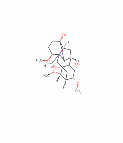 CCN1C[C@]2(O)CC[C@H](OC)[C@]34C1[C@H](C[C@H]23)[C@@]1(O)C[C@H](OC)[C@H]2C[C@@H]4[C@]1(O)[C@H]2OC